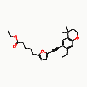 CCOC(=O)CCCCc1ccc(C#Cc2cc3c(cc2CC)OCCC3(C)C)o1